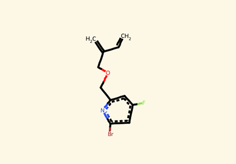 C=CC(=C)COCc1cc(F)cc(Br)n1